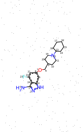 Nc1n[nH]c2cc(OCC3CCN(C4CCCCC4)CC3)cc(F)c12